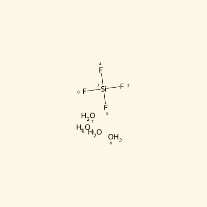 F[Si](F)(F)F.O.O.O.O